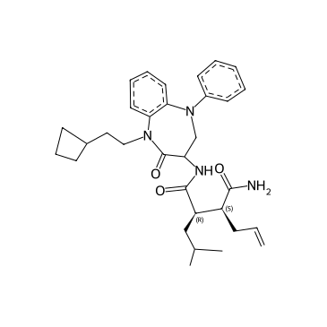 C=CC[C@H](C(N)=O)[C@@H](CC(C)C)C(=O)NC1CN(c2ccccc2)c2ccccc2N(CCC2CCC2)C1=O